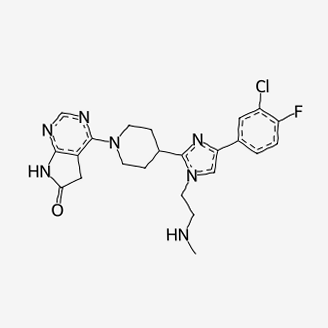 CNCCn1cc(-c2ccc(F)c(Cl)c2)nc1C1CCN(c2ncnc3c2CC(=O)N3)CC1